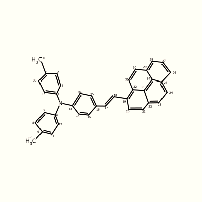 Cc1ccc(N(c2ccc(C)cc2)c2ccc(C=Cc3ccc4ccc5cccc6ccc3c4c56)cc2)cc1